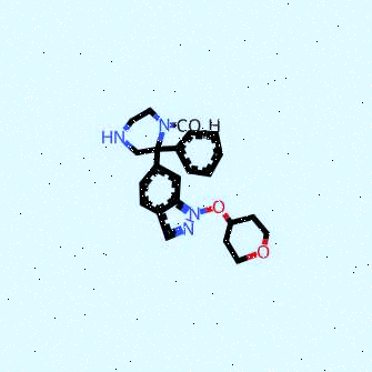 O=C(O)N1CCNCC1(c1ccccc1)c1ccc2cnn(OC3CCOCC3)c2c1